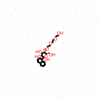 OCCOCCOCCOO[C@@H]1[C@H](O)[C@@H](O)[C@@](O)(c2cccc3ccccc23)O[C@@H]1CO